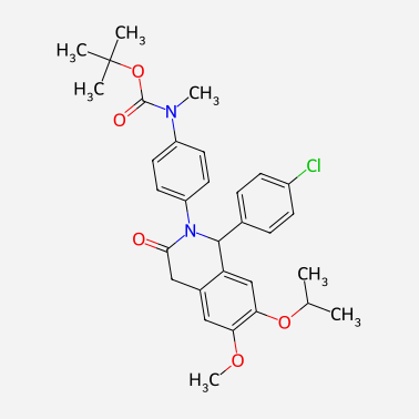 COc1cc2c(cc1OC(C)C)C(c1ccc(Cl)cc1)N(c1ccc(N(C)C(=O)OC(C)(C)C)cc1)C(=O)C2